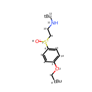 CC(C)(C)COc1ccc([S+]([O-])CCNC(C)(C)C)cc1